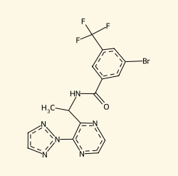 CC(NC(=O)c1cc(Br)cc(C(F)(F)F)c1)c1nccnc1-n1nccn1